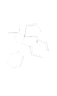 CC(C)C1=CC=C[C]1([Si](C)(c1ccccc1)c1ccccc1)[Ti]([Cl])([Cl])[Cl]